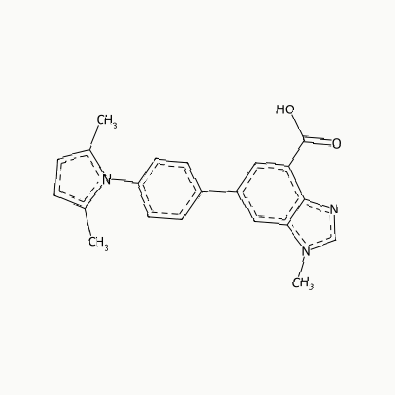 Cc1ccc(C)n1-c1ccc(-c2cc(C(=O)O)c3ncn(C)c3c2)cc1